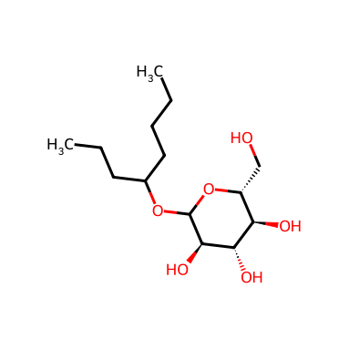 CCCCC(CCC)OC1O[C@H](CO)[C@@H](O)[C@H](O)[C@H]1O